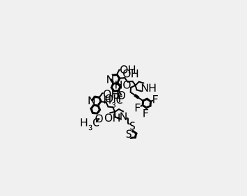 COc1ccc2ncc(CO)c([C@H](O)CCC3(CO)CCN(CCSc4cccs4)CC3)c2c1.COc1ccc2ncc(CO)c([C@H](O)CCC3([C@@H](O)CC#Cc4cc(F)cc(F)c4F)CCNCC3)c2c1